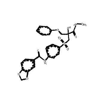 O=C(Nc1ccc(S(=O)(=O)CC(O)(COc2ccccc2)C(=O)NO)cc1)c1ccc2c(c1)OCO2